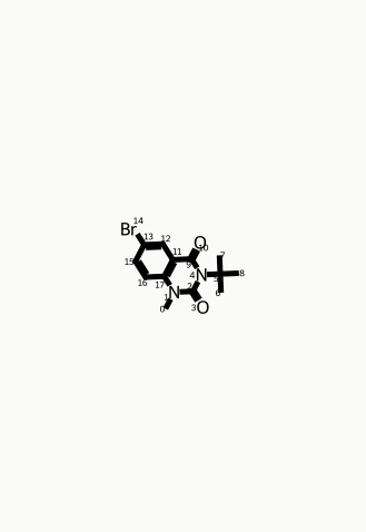 Cn1c(=O)n(C(C)(C)C)c(=O)c2cc(Br)ccc21